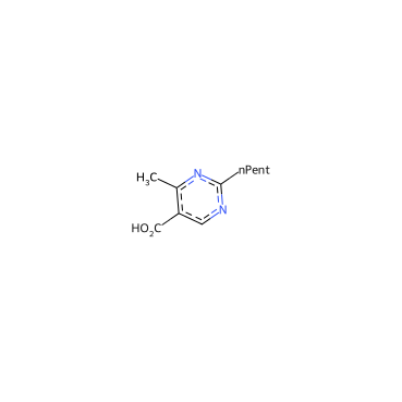 CCCCCc1ncc(C(=O)O)c(C)n1